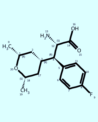 C[C@@H]1C[C@H]([C@H](c2ccc(F)cc2)[C@H](N)C(=O)O)C[C@H](C)O1